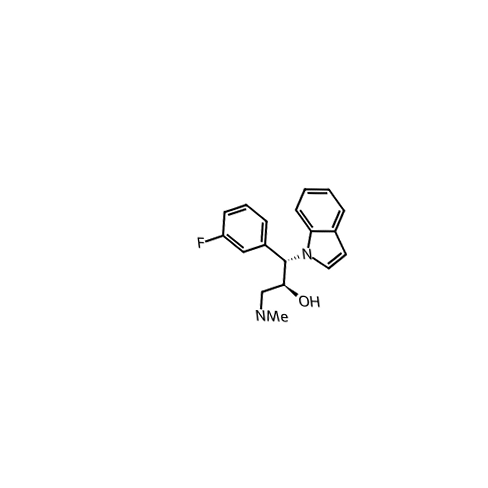 CNC[C@H](O)[C@H](c1cccc(F)c1)n1ccc2ccccc21